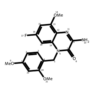 COc1ccc(Cn2c(=O)c(N)nc3c(OC)cc(F)cc32)c(OC)c1